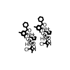 Cc1cc(C)c(NC(=O)c2sccc2S(=O)(=O)Nc2onc(C)c2Cl)c(C(=O)C2CCCCC2)c1.Cc1cc(C)c(NC(=O)c2sccc2S(=O)(=O)Nc2onc(C)c2Cl)c(C(=O)C2CCCCC2)c1